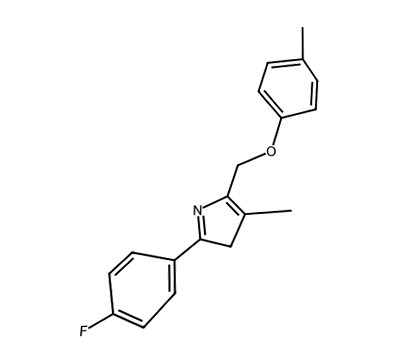 CC1=C(COc2ccc(C)cc2)N=C(c2ccc(F)cc2)C1